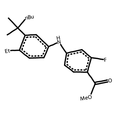 CCCCC(C)(C)c1cc(Nc2ccc(C(=O)OC)c(F)c2)ccc1CC